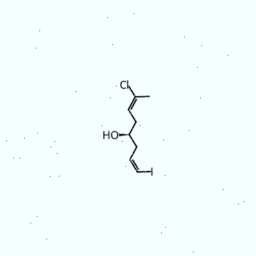 C/C(Cl)=C\C[C@H](O)C/C=C\I